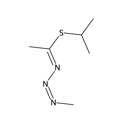 C/N=N\N=C(/C)SC(C)C